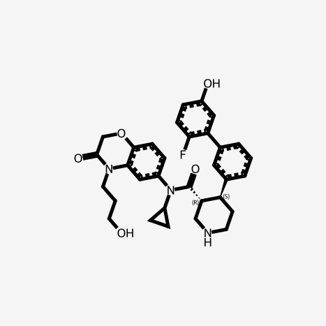 O=C1COc2ccc(N(C(=O)[C@H]3CNCC[C@@H]3c3cccc(-c4cc(O)ccc4F)c3)C3CC3)cc2N1CCCO